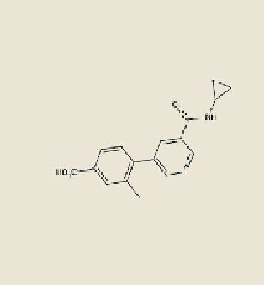 Cc1cc(C(=O)O)ccc1-c1cccc(C(=O)NC2CC2)c1